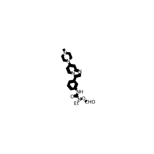 CCN(OC=O)C(=O)Nc1cccc(-c2cnc3cc(N4CCN(C)CC4)ccn23)c1